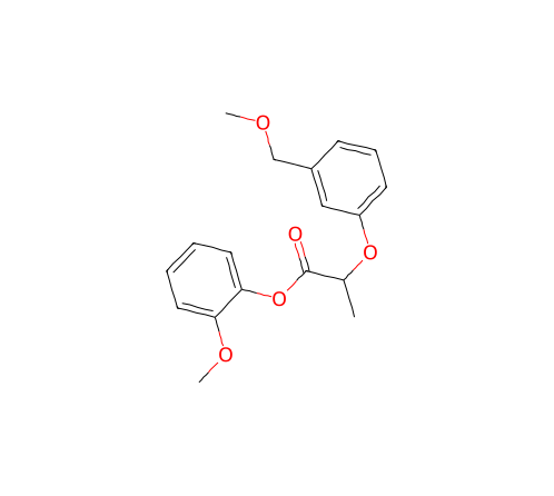 COCc1cccc(OC(C)C(=O)Oc2ccccc2OC)c1